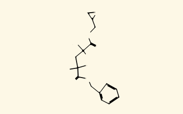 CCC(C)(CC(C)(C)C(=O)OCC1CO1)C(=O)OCc1ccccc1